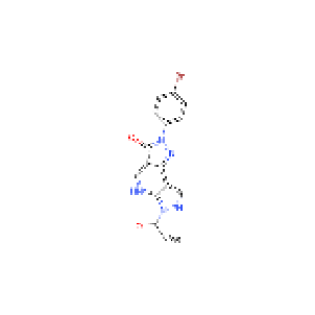 CNC(=O)n1ncc2c3nn(-c4ccc(Br)cc4)c(=O)c-3c[nH]c21